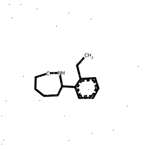 CCc1ccccc1C1CCCCCN1